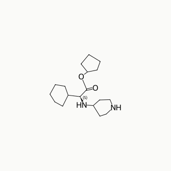 O=C(OC1CCCC1)[C@@H](NC1CCNCC1)C1CCCCC1